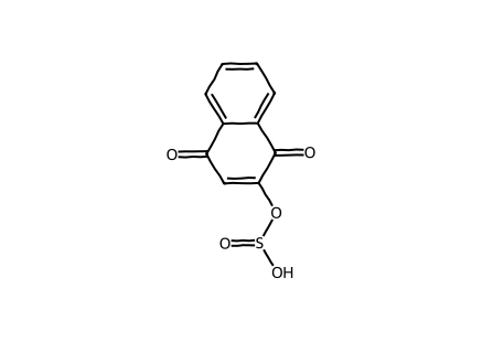 O=C1C=C(OS(=O)O)C(=O)c2ccccc21